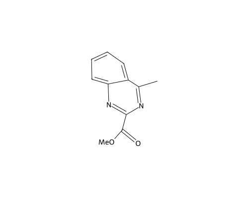 COC(=O)c1nc(C)c2ccccc2n1